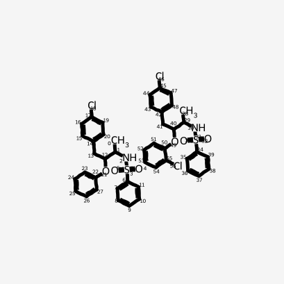 CC(NS(=O)(=O)c1ccccc1)C(Cc1ccc(Cl)cc1)Oc1ccccc1.CC(NS(=O)(=O)c1ccccc1)C(Cc1ccc(Cl)cc1)Oc1ccccc1Cl